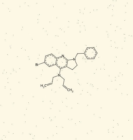 C=CCN(CC=C)c1c2c(nc3ccc(Br)cc13)N(Cc1ccccc1)CC2